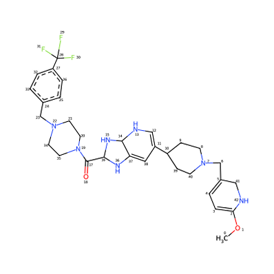 COC1=CC=C(CN2CCC(C3=CNC4NC(C(=O)N5CCN(Cc6ccc(C(F)(F)F)cc6)CC5)NC4=C3)CC2)CN1